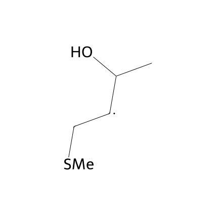 CSC[CH]C(C)O